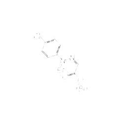 CCN(/N=C\C(=O)OC(C)(C)C)c1ccc(Cl)cc1